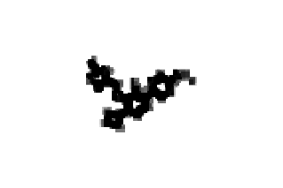 Cc1noc(COc2c(C3CCC3)ccc(-c3cnc(N)cn3)c2F)n1